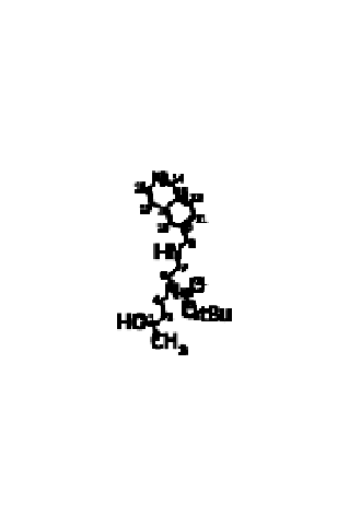 C[C@@H](O)CCN(CCNCc1ccc2cnccc2c1)C(=O)OC(C)(C)C